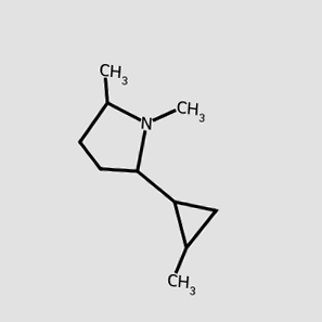 CC1CC1C1CCC(C)N1C